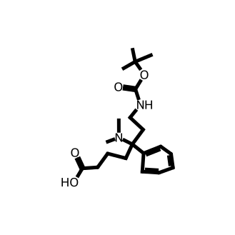 CN(C)C(CCCC(=O)O)(CCNC(=O)OC(C)(C)C)c1ccccc1